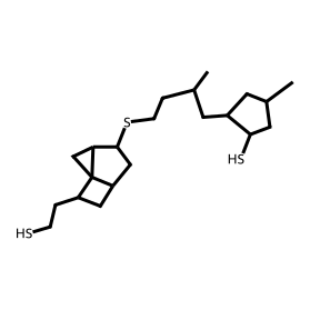 CC(CCSC1CC2CC(CCS)C23CC13)CC1CC(C)CC1S